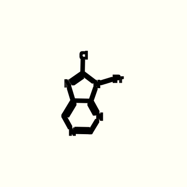 CC(C)n1c(Cl)nc2cncnc21